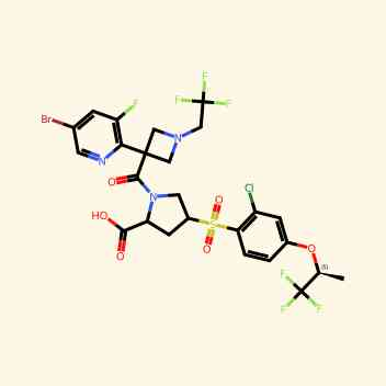 C[C@H](Oc1ccc(S(=O)(=O)C2CC(C(=O)O)N(C(=O)C3(c4ncc(Br)cc4F)CN(CC(F)(F)F)C3)C2)c(Cl)c1)C(F)(F)F